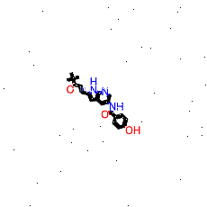 CC(C)(C)C(=O)/C=C/c1cc2cc(NC(=O)c3ccc(O)cc3)cnc2[nH]1